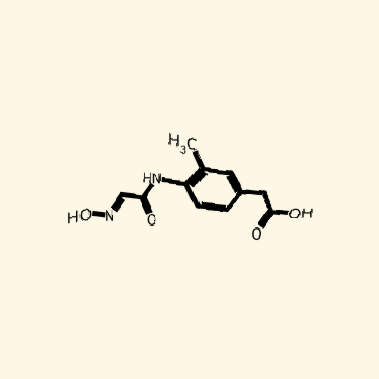 Cc1cc(CC(=O)O)ccc1NC(=O)C=NO